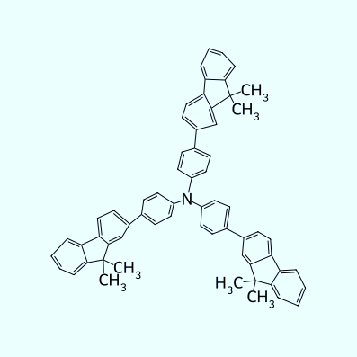 CC1(C)c2ccccc2-c2ccc(-c3ccc(N(c4ccc(-c5ccc6c(c5)C(C)(C)c5ccccc5-6)cc4)c4ccc(-c5ccc6c(c5)C(C)(C)c5ccccc5-6)cc4)cc3)cc21